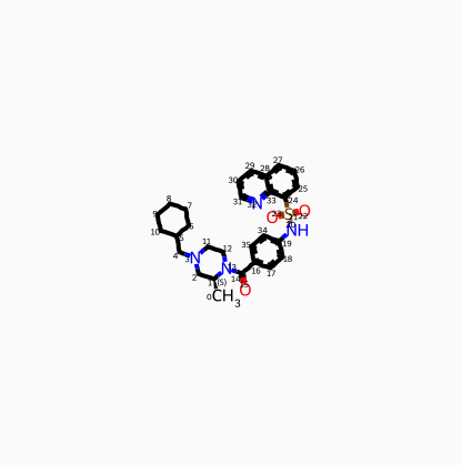 C[C@H]1CN(CC2CCCCC2)CCN1C(=O)c1ccc(NS(=O)(=O)c2cccc3cccnc23)cc1